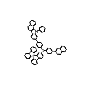 c1ccc(-n2c3cc(-c4ccc(N(c5ccc(-c6ccc7ccccc7c6)cc5)c5ccc6c(c5)C5(c7ccccc7-c7ccccc75)c5ccccc5-6)cc4)ccc3c3ccc4ccccc4c32)cc1